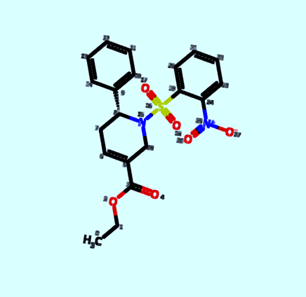 CCOC(=O)C1=CC[C@H](c2ccccc2)N(S(=O)(=O)c2ccccc2[N+](=O)[O-])C1